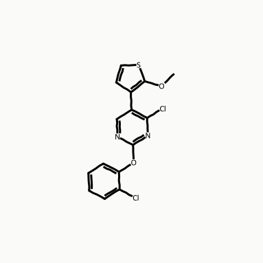 COc1sccc1-c1cnc(Oc2ccccc2Cl)nc1Cl